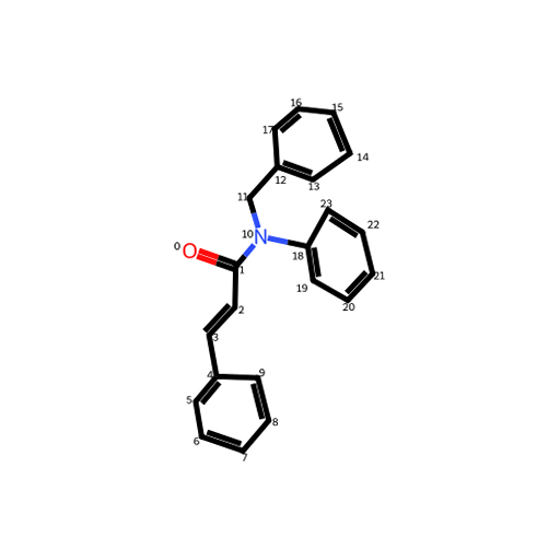 O=C(C=Cc1ccccc1)N(Cc1ccccc1)c1ccccc1